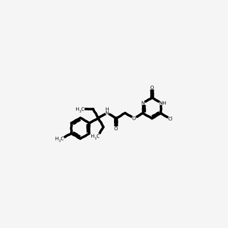 CCC(CC)(NC(=O)COc1cc(Cl)[nH]c(=O)n1)c1ccc(C)cc1